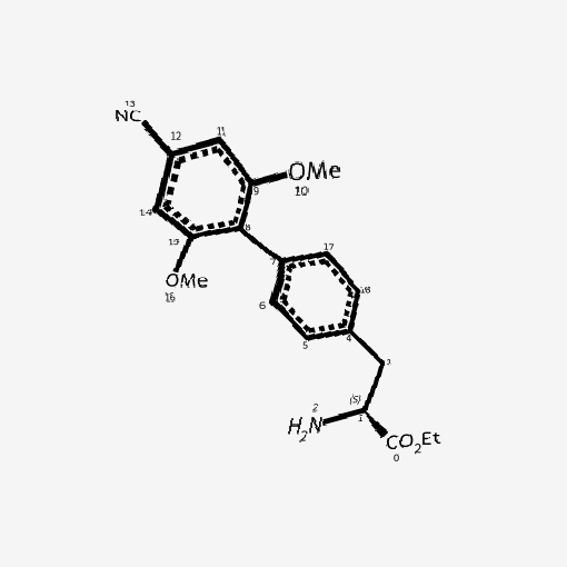 CCOC(=O)[C@@H](N)Cc1ccc(-c2c(OC)cc(C#N)cc2OC)cc1